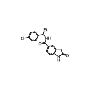 CCC(NC(=O)c1ccc2c(c1)CC(=O)N2)c1ccc(Cl)cc1